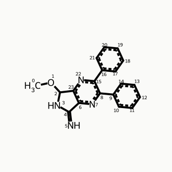 COC1NC(=N)c2nc(-c3ccccc3)c(-c3ccccc3)nc21